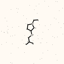 CCN1CCC(OCC(C)C)C1